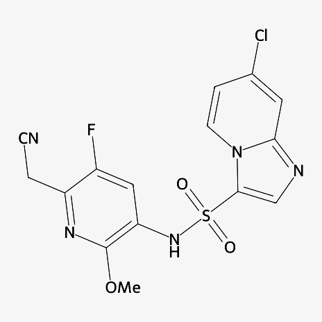 COc1nc(CC#N)c(F)cc1NS(=O)(=O)c1cnc2cc(Cl)ccn12